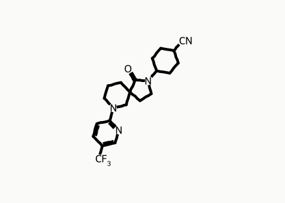 N#CC1CCC(N2CCC3(CCCN(c4ccc(C(F)(F)F)cn4)C3)C2=O)CC1